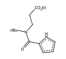 CCCCN(CCC(=O)OCC)C(=O)c1ccc[nH]1